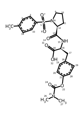 Cc1ccc(S(=O)(=O)N2CCC[C@H]2C(=O)N[C@@H](Cc2ccc(OC(=O)N(C)C)cc2)C(=O)O)cc1